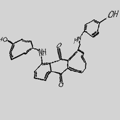 O=C1c2cccc(Nc3ccc(O)cc3)c2C(=O)c2c(Nc3ccc(O)cc3)cccc21